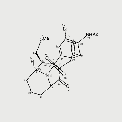 C#CCN1C[C@H](COC)[C@@H]2CCCC(C1=O)N2S(=O)(=O)c1ccc(NC(C)=O)c(Br)c1